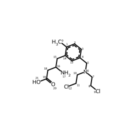 Cc1ccc(CN(CCCl)CCCl)cc1CC(N)CC(=O)O